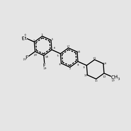 CCc1ccc(-c2ccc(C3CCC(C)CC3)cc2)c(F)c1F